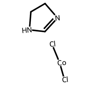 C1=NCCN1.[Cl][Co][Cl]